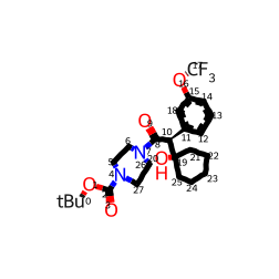 CC(C)(C)OC(=O)N1CCN(C(=O)[C@@H](c2cccc(OC(F)(F)F)c2)C2(O)CCCCC2)CC1